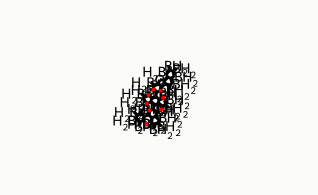 Bc1c(B)c(B)c(-c2c(B)c(-c3c4c(B)c(B)c(B)c(B)c4c(-c4c(B)c(B)c5oc6c7c(B)c(B)c(B)c(B)c7c(B)c(B)c6c5c4B)c4c(B)c(B)c(B)c(B)c34)c(B)c3c(B)c(B)c(B)c(B)c23)c(B)c1B